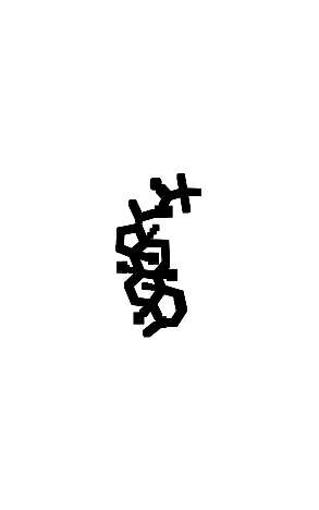 CC(NC(=O)C(C)(C)C)[C@H]1CC[C@H]2[C@@H]3CC[C@H]4N(C)CC=C[C@]4(C)[C@H]3CC[C@]12C